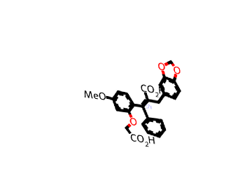 COc1ccc(/C(=C(/Cc2ccc3c(c2)OCO3)C(=O)O)c2ccccc2)c(OCC(=O)O)c1